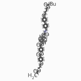 C=CC(=O)OCCCOc1ccc(C(=O)Oc2ccc(C(=O)O[C@H]3CO[C@H]4[C@@H]3OC[C@H]4OC(=O)/C=C/c3ccc(-c4ccc(OCCCCOC(=O)C(C)CC)cc4)cc3)cc2)cc1